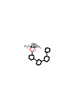 CC1(C)OB(c2cccc(-c3cccc(-c4cccc(-c5ccccc5)c4)c3)c2)OC1(C)C